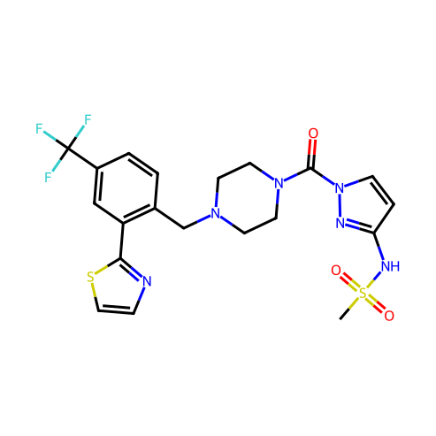 CS(=O)(=O)Nc1ccn(C(=O)N2CCN(Cc3ccc(C(F)(F)F)cc3-c3nccs3)CC2)n1